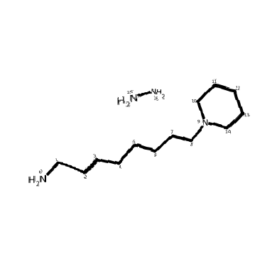 NCCCCCCCCN1CCCCC1.NN